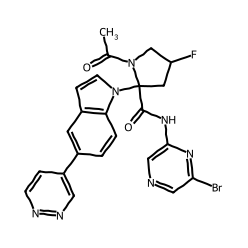 CC(=O)N1CC(F)CC1(C(=O)Nc1cncc(Br)n1)n1ccc2cc(-c3ccnnc3)ccc21